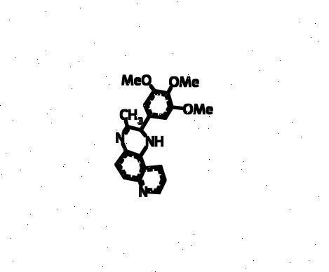 COc1cc(C2Nc3c(ccc4ncccc34)N=C2C)cc(OC)c1OC